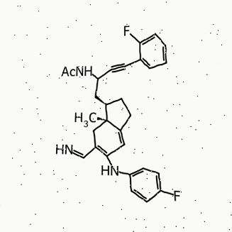 CC(=O)NC(C#Cc1ccccc1F)C[C@H]1CCC2=CC(Nc3ccc(F)cc3)=C(C=N)C[C@@]21C